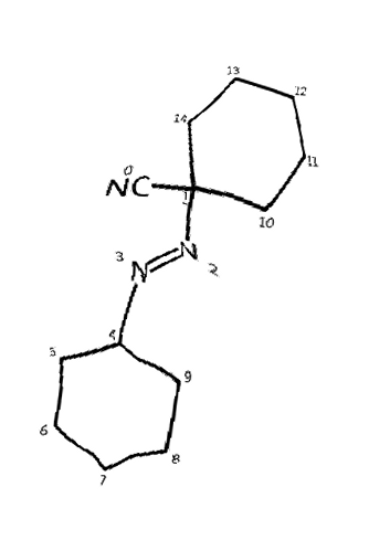 N#CC1(/N=N/C2CCCCC2)CCCCC1